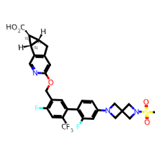 CS(=O)(=O)N1CC2(CN(c3ccc(-c4cc(COc5cc6c(cn5)[C@H]5[C@@H](C6)[C@@H]5C(=O)O)c(F)cc4C(F)(F)F)c(F)c3)C2)C1